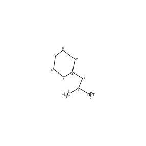 CCCC(C)CC1CCCCC1